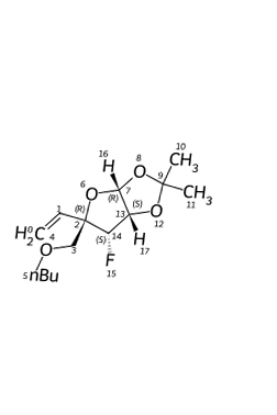 C=C[C@]1(COCCCC)O[C@@H]2OC(C)(C)O[C@@H]2[C@@H]1F